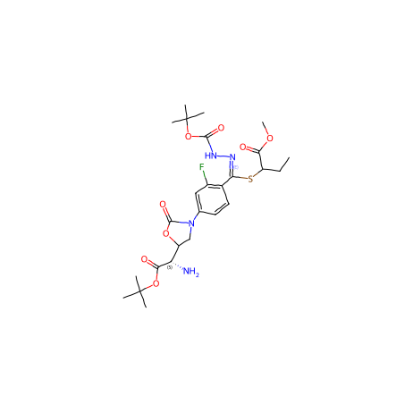 CCC(S/C(=N/NC(=O)OC(C)(C)C)c1ccc(N2CC([C@H](N)C(=O)OC(C)(C)C)OC2=O)cc1F)C(=O)OC